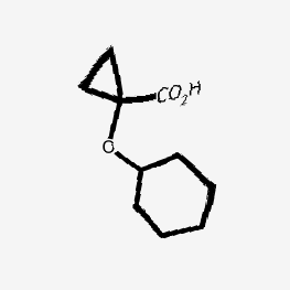 O=C(O)C1(OC2CCCCC2)CC1